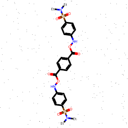 CCN(CC)S(=O)(=O)c1ccc(NOC(=O)c2ccc(C(=O)ONc3ccc(S(=O)(=O)N(CC)CC)cc3)cc2)cc1